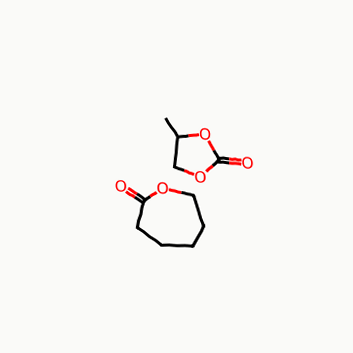 CC1COC(=O)O1.O=C1CCCCCO1